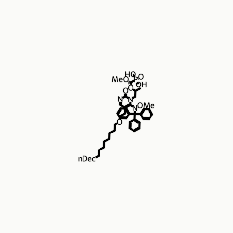 CCCCCCCCCCCCCCCCCCOCCc1cnc(=O)n(CC(C)O[C@H](OC)P(=O)(O)O)c1N(OC)C(c1ccccc1)(c1ccccc1)c1ccccc1